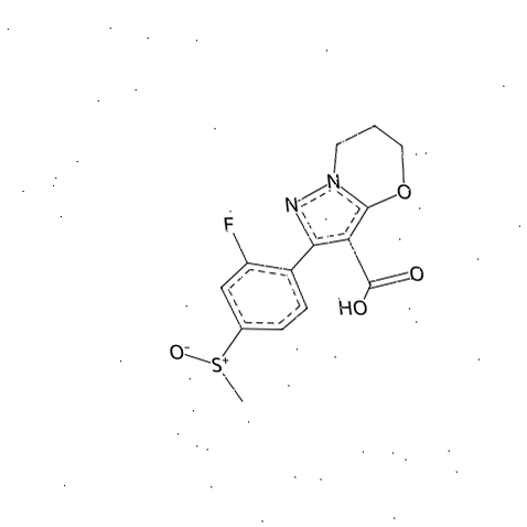 C[S+]([O-])c1ccc(-c2nn3c(c2C(=O)O)OCCC3)c(F)c1